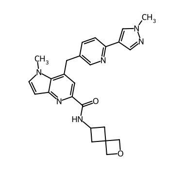 Cn1cc(-c2ccc(Cc3cc(C(=O)NC4CC5(COC5)C4)nc4ccn(C)c34)cn2)cn1